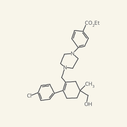 CCOC(=O)c1ccc(N2CCN(CC3=C(c4ccc(Cl)cc4)CCC(C)(CO)C3)CC2)cc1